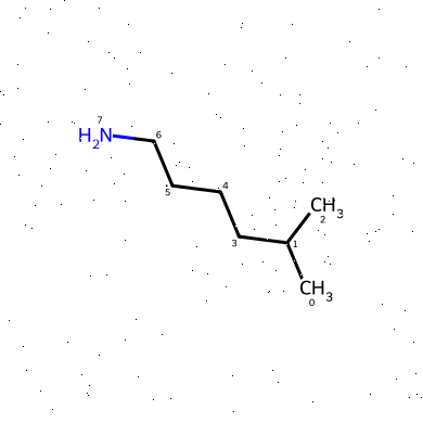 CC(C)CC[CH]CN